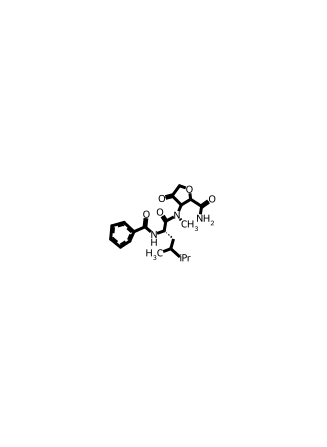 CC(C)C(C)C[C@H](NC(=O)c1ccccc1)C(=O)N(C)C1C(=O)COC1C(N)=O